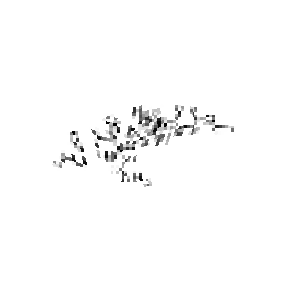 CCOC(=O)CCC(C(=O)N1C[C@@H]2C[C@H]1CN2c1ccc(OCC)cc1)S(=O)(=O)CCN